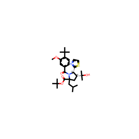 COc1cc(C(=O)N2[C@H](c3nccs3)[C@H](C(C)(C)O)CC2(CC(C)C)C(=O)OC(C)(C)C)ccc1C(C)(C)C